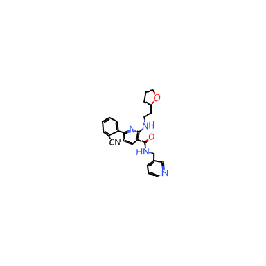 N#Cc1ccccc1-c1ccc(C(=O)NCc2cccnc2)c(NCCC2CCCO2)n1